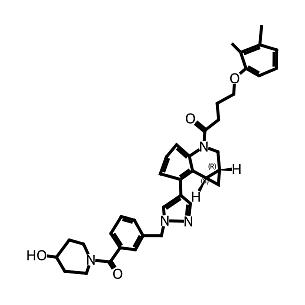 Cc1cccc(OCCCC(=O)N2C[C@@H]3C[C@@H]3c3c(-c4cnn(Cc5cccc(C(=O)N6CCC(O)CC6)c5)c4)cccc32)c1C